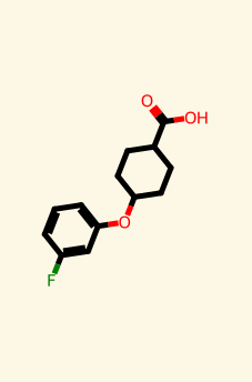 O=C(O)C1CCC(Oc2cccc(F)c2)CC1